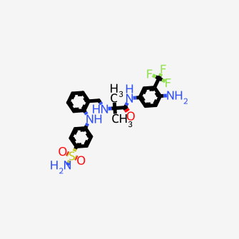 CC(C)(NCc1ccccc1Nc1ccc(S(N)(=O)=O)cc1)C(=O)Nc1ccc(N)c(C(F)(F)F)c1